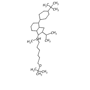 CC(C)C1CC2C(C3CCC(C(C)(C)C)CC3)CCCC2C1[SiH](C)CCCCCCOC(C)(C)C